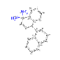 NC1(N)C=CC(c2cccc3ccccc23)c2ccccc21